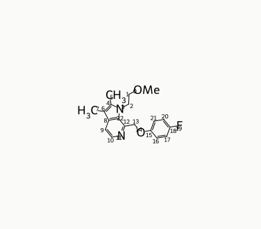 COCCn1c(C)c(C)c2ccnc(COc3ccc(F)cc3)c21